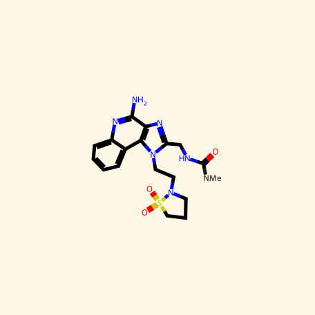 CNC(=O)NCc1nc2c(N)nc3ccccc3c2n1CCN1CCCS1(=O)=O